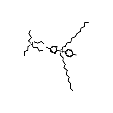 CCCCCCCCCCCC[B-](CCCCCCCCCCCC)(c1ccc(C)cc1)c1ccc(C)cc1.CCCC[N+](CCCC)(CCCC)CCCC